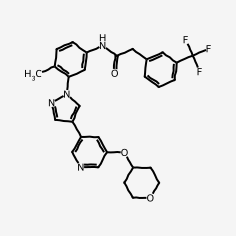 Cc1ccc(NC(=O)Cc2cccc(C(F)(F)F)c2)cc1-n1cc(-c2cncc(OC3CCOCC3)c2)cn1